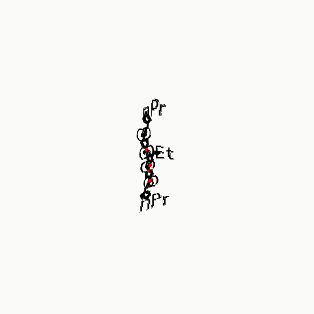 CC/C=C/c1cc(OC(=O)C2CCC(C(=O)OCCc3ccc(CCC)cc3)CC2)ccc1OC(=O)C1CCC(C(=O)OCCc2ccc(CCC)cc2)CC1